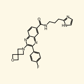 O=C(NCCCc1ncc[nH]1)c1ccc2nc(N3CC4(COC4)C3)c(-c3ccc(F)cc3)nc2c1